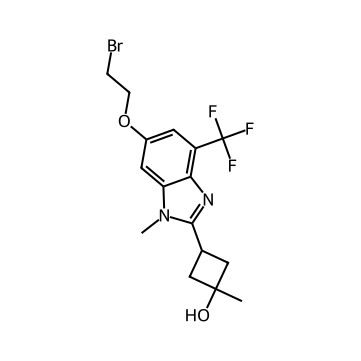 Cn1c(C2CC(C)(O)C2)nc2c(C(F)(F)F)cc(OCCBr)cc21